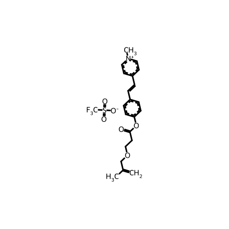 C=C(C)COCCC(=O)Oc1ccc(/C=C/c2cc[n+](C)cc2)cc1.O=S(=O)([O-])C(F)(F)F